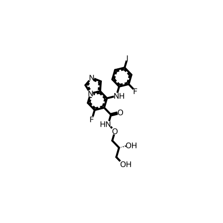 O=C(NOC[C@H](O)CO)c1c(F)cn2cncc2c1Nc1ccc(I)cc1F